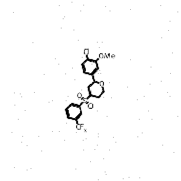 COc1cc(C2CC(S(=O)(=O)c3cccc(C(F)(F)F)c3)CCO2)ccc1Cl